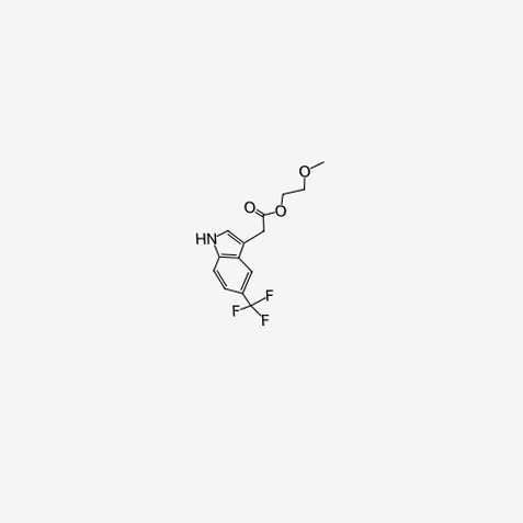 COCCOC(=O)Cc1c[nH]c2ccc(C(F)(F)F)cc12